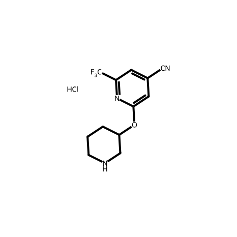 Cl.N#Cc1cc(OC2CCCNC2)nc(C(F)(F)F)c1